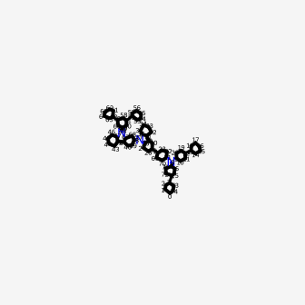 c1ccc(-c2ccc(N(c3ccc(-c4ccccc4)cc3)c3ccc(-c4ccc5c(c4)c4ccccc4n5-c4ccc5c6ccccc6n(-c6cc(-c7ccccc7)cc(-c7ccccc7)c6)c5c4)cc3)cc2)cc1